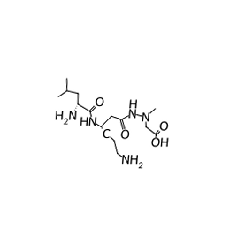 CC(C)C[C@@H](N)C(=O)N[C@@H](CCCN)CC(=O)NN(C)CC(=O)O